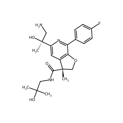 CC(C)(O)CNC(=O)[C@@]1(C)COc2c1cc([C@@](C)(O)CN)nc2-c1ccc(F)cc1